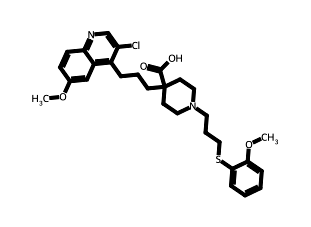 COc1ccc2ncc(Cl)c(CCCC3(C(=O)O)CCN(CCCSc4ccccc4OC)CC3)c2c1